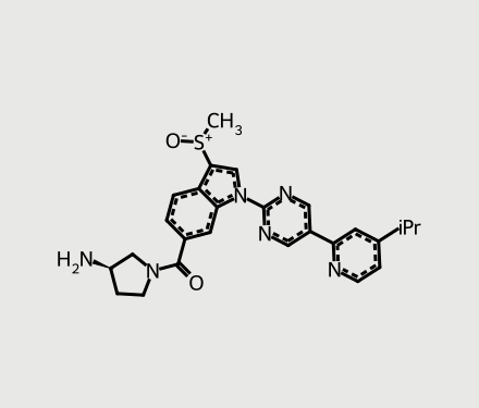 CC(C)c1ccnc(-c2cnc(-n3cc([S+](C)[O-])c4ccc(C(=O)N5CC[C@@H](N)C5)cc43)nc2)c1